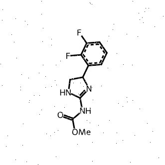 COC(=O)NC1=NC(c2cccc(F)c2F)CN1